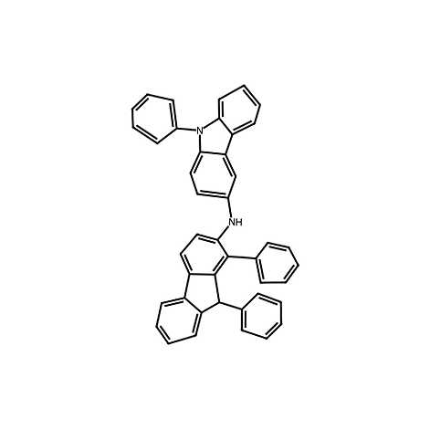 c1ccc(-c2c(Nc3ccc4c(c3)c3ccccc3n4-c3ccccc3)ccc3c2C(c2ccccc2)c2ccccc2-3)cc1